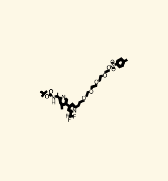 Cc1ccc(S(=O)(=O)OCCOCCOCCOCCOCCCc2cc(-c3cnc([C@H](C)NC(=O)OC(C)(C)C)cc3C)cc(C(F)(F)F)n2)cc1